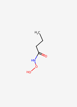 CCCC(=O)NOO